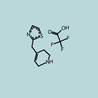 C1=C(Cc2nccs2)CCNC1.O=C(O)C(F)(F)F